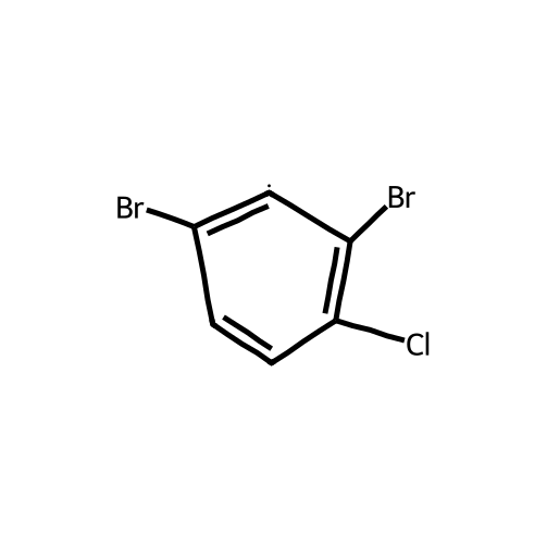 Clc1ccc(Br)[c]c1Br